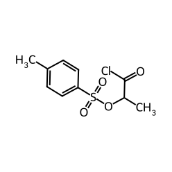 Cc1ccc(S(=O)(=O)OC(C)C(=O)Cl)cc1